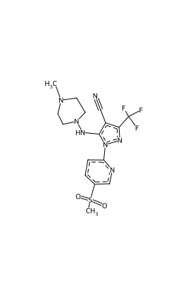 CN1CCN(Nc2c(C#N)c(C(F)(F)F)nn2-c2ccc(S(C)(=O)=O)cn2)CC1